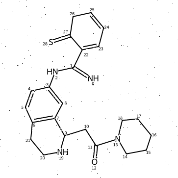 N=C(Nc1ccc2c(c1)C(CC(=O)N1CCCCC1)NCC2)C1=CC=CCC1=S